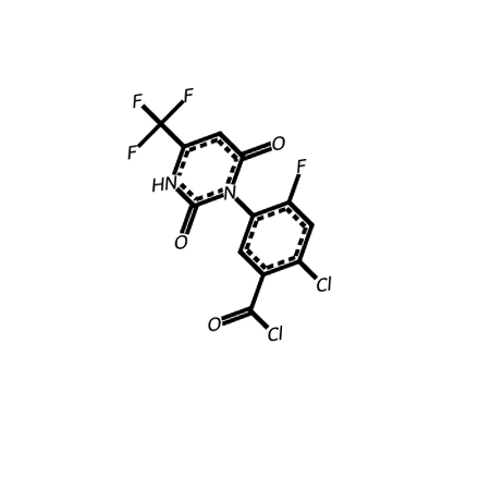 O=C(Cl)c1cc(-n2c(=O)cc(C(F)(F)F)[nH]c2=O)c(F)cc1Cl